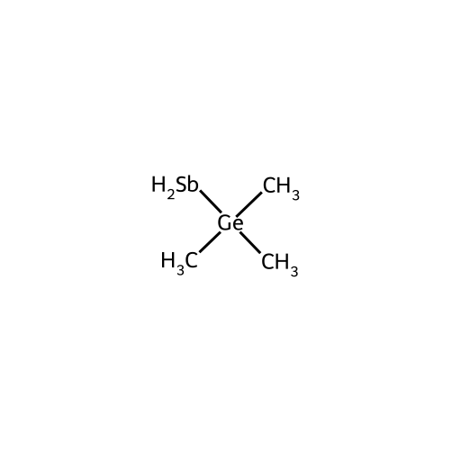 [CH3][Ge]([CH3])([CH3])[SbH2]